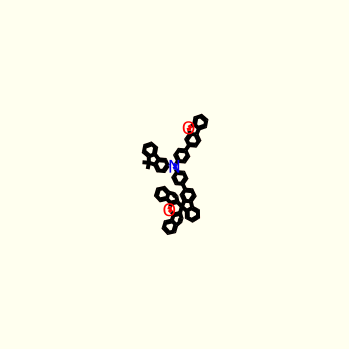 CC1(C)c2ccccc2-c2cc(N(c3ccc(-c4ccc5c(c4)C4(c6ccccc6-5)c5ccc6ccccc6c5Oc5c4ccc4ccccc54)cc3)c3ccc(-c4ccc5c(c4)oc4ccccc45)cc3)ccc21